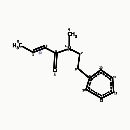 C/C=C/C(=O)N(C)CCc1ccccc1